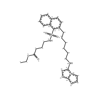 CCOC(=O)CCCNS(=O)(=O)c1c(CCCCCCNc2nsc3nccn23)ccc2ccccc12